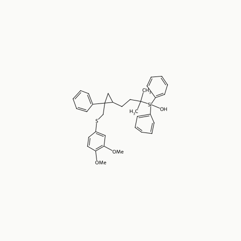 COc1ccc(SCC2(c3ccccc3)CC2CCC(C)(C)[Si](O)(c2ccccc2)c2ccccc2)cc1OC